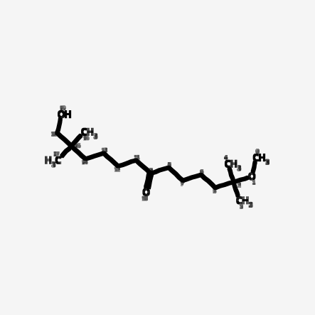 COC(C)(C)CCCCC(=O)CCCCC(C)(C)CO